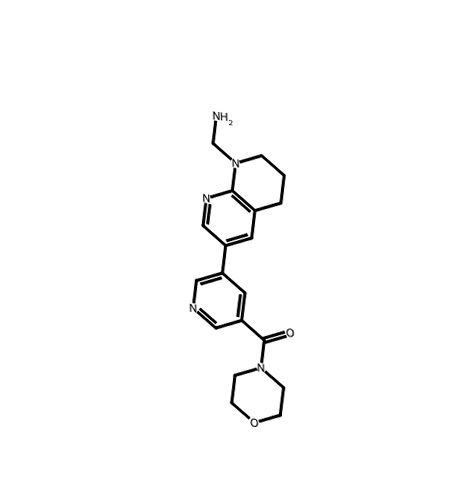 NCN1CCCc2cc(-c3cncc(C(=O)N4CCOCC4)c3)cnc21